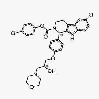 O=C(Oc1ccc(Cl)cc1)N1CCc2c([nH]c3ccc(Cl)cc23)[C@@H]1c1ccc(OC[C@@H](O)CN2CCOCC2)cc1